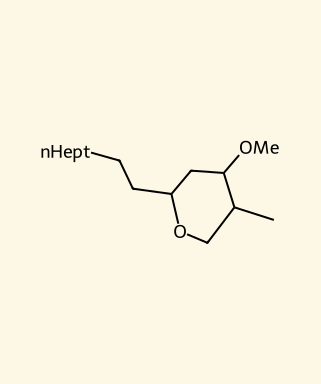 CCCCCCCCCC1CC(OC)C(C)CO1